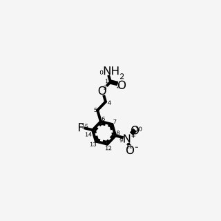 NC(=O)OCCc1cc([N+](=O)[O-])ccc1F